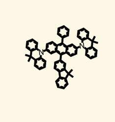 CC1(C)c2ccccc2-c2ccc(-c3c4ccc(N5c6ccccc6C(C)(C)c6ccccc65)cc4c(-c4ccccc4)c4ccc(N5c6ccccc6C(C)(C)c6ccccc65)cc34)cc21